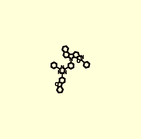 c1ccc(-c2nc(-c3cccc(-n4c5ccc6ccccc6c5c5ccc6nc(-c7ccccc7)oc6c54)c3)nc(-c3ccc4c(c3)oc3ccccc34)n2)cc1